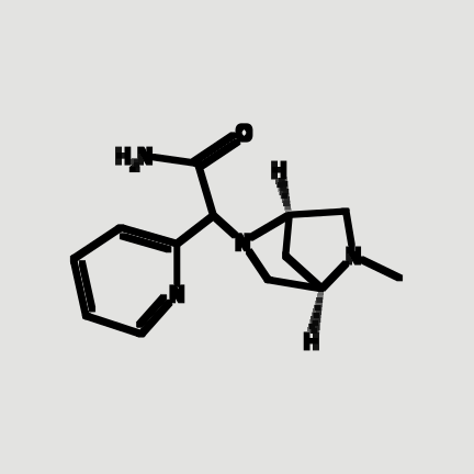 CN1C[C@H]2C[C@@H]1CN2C(C(N)=O)c1ccccn1